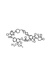 CNC(=O)COc1cc2cc(Nc3nc(N4CCC(CN5CC6(C5)CN(c5ccc7c(c5)C(=O)N(C5CCC(=O)NC5=O)C7=O)C6)CC4)ncc3Cl)ccc2n(C(C)C)c1=O